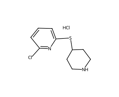 Cl.Clc1cccc(SC2CCNCC2)n1